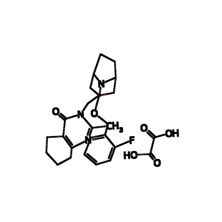 Cc1nc2c(c(=O)n1CCN1C3CCC1CC(OCc1ccccc1F)C3)CCCC2.O=C(O)C(=O)O